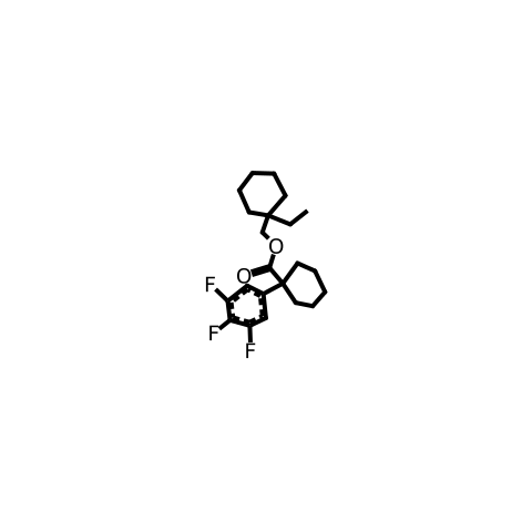 CCC1(COC(=O)C2(c3cc(F)c(F)c(F)c3)CCCCC2)CCCCC1